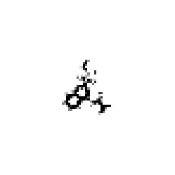 C=C(C)C(=O)Oc1cc(S(=O)(=O)NCC)cc2ccccc12